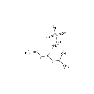 C=CCOCC(C)O.N.O=S(=O)(O)O